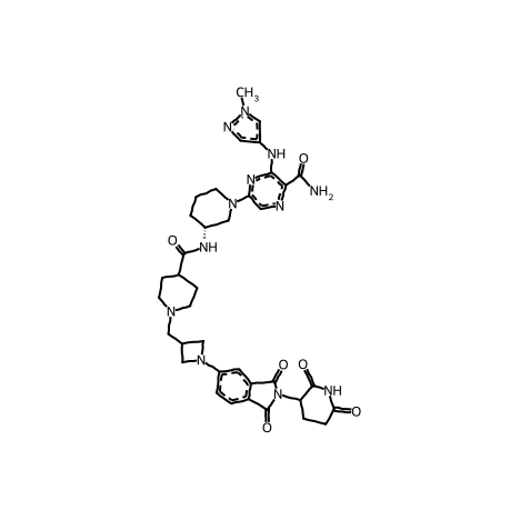 Cn1cc(Nc2nc(N3CCC[C@@H](NC(=O)C4CCN(CC5CN(c6ccc7c(c6)C(=O)N(C6CCC(=O)NC6=O)C7=O)C5)CC4)C3)cnc2C(N)=O)cn1